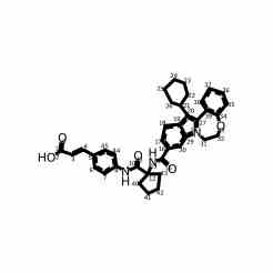 O=C(O)C=Cc1ccc(NC(=O)C2(NC(=O)c3ccc4c(C5CCCCC5)c5n(c4c3)CCOc3ccccc3-5)CCCC2)cc1